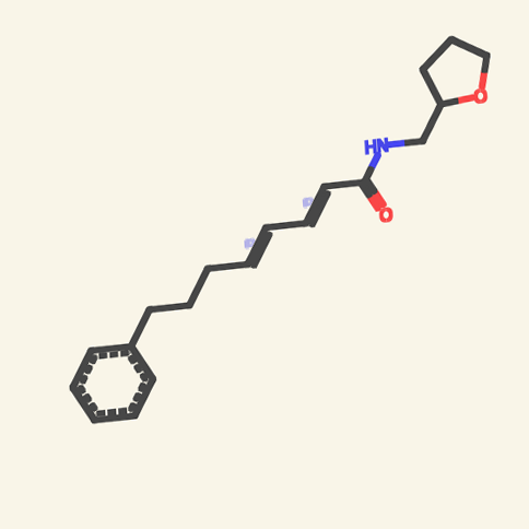 O=C(/C=C/C=C/CCCc1ccccc1)NCC1CCCO1